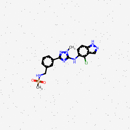 Cn1nc(-c2cccc(CNS(C)(=O)=O)c2)nc1Nc1ccc2[nH]ncc2c1Cl